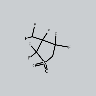 O=S1(=O)CC(F)(F)C(F)(C(F)F)C1(F)F